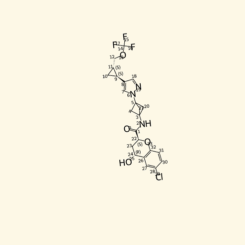 O=C(NC12CC(n3cc([C@H]4C[C@@H]4COC(F)(F)F)cn3)(C1)C2)[C@@H]1C[C@@H](O)c2cc(Cl)ccc2O1